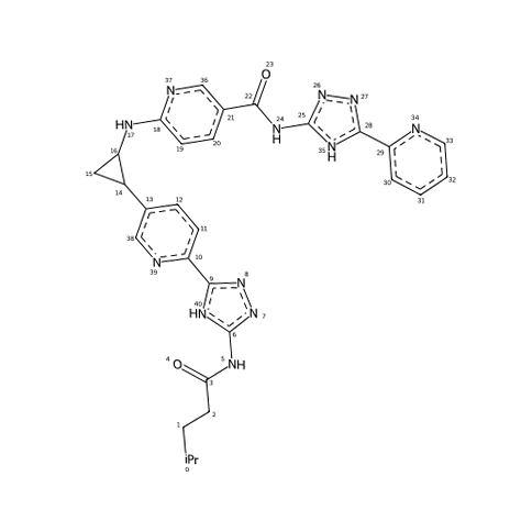 CC(C)CCC(=O)Nc1nnc(-c2ccc(C3CC3Nc3ccc(C(=O)Nc4nnc(-c5ccccn5)[nH]4)cn3)cn2)[nH]1